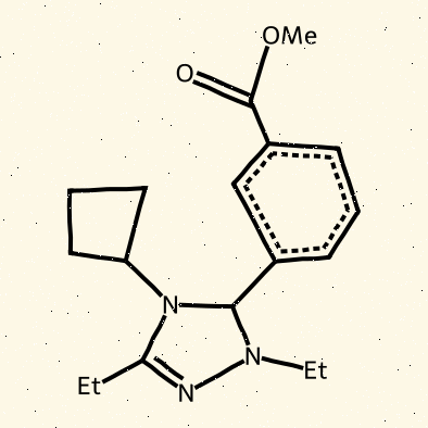 CCC1=NN(CC)C(c2cccc(C(=O)OC)c2)N1C1CCC1